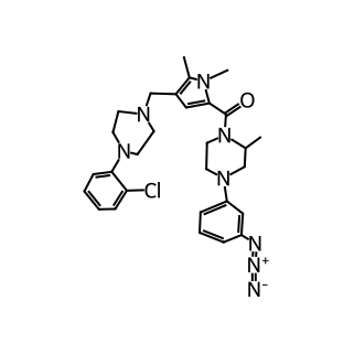 Cc1c(CN2CCN(c3ccccc3Cl)CC2)cc(C(=O)N2CCN(c3cccc(N=[N+]=[N-])c3)CC2C)n1C